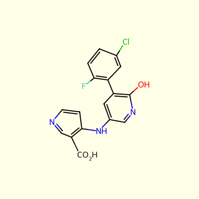 O=C(O)c1cnccc1Nc1cnc(O)c(-c2cc(Cl)ccc2F)c1